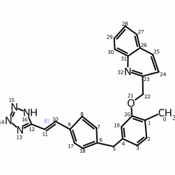 Cc1ccc(Cc2ccc(/C=C/c3nnn[nH]3)cc2)cc1OCc1ccc2ccccc2n1